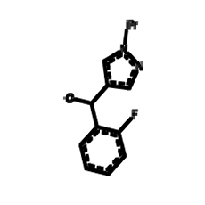 CC(C)n1cc(C([O])c2ccccc2F)cn1